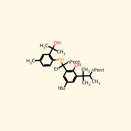 CCCCCC(C)C(C)(C)c1cc(C(C)(C)C)cc(C(CC)(CCCCC)Pc2ccc(C)cc2C(C)(C)O)c1O